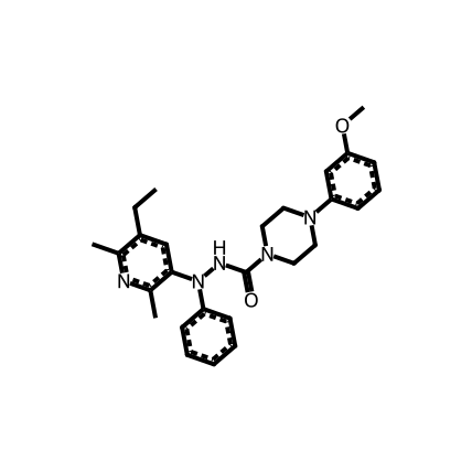 CCc1cc(N(NC(=O)N2CCN(c3cccc(OC)c3)CC2)c2ccccc2)c(C)nc1C